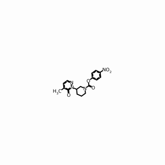 Cc1ccnn(C2CCCN(C(=O)Oc3ccc([N+](=O)[O-])cc3)C2)c1=O